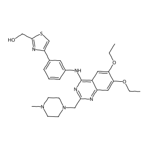 CCOc1cc2nc(CN3CCN(C)CC3)nc(Nc3cccc(-c4csc(CO)n4)c3)c2cc1OCC